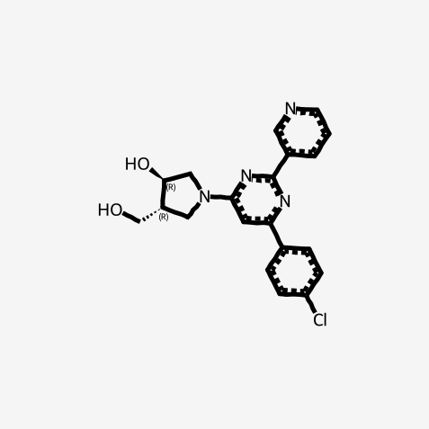 OC[C@H]1CN(c2cc(-c3ccc(Cl)cc3)nc(-c3cccnc3)n2)C[C@@H]1O